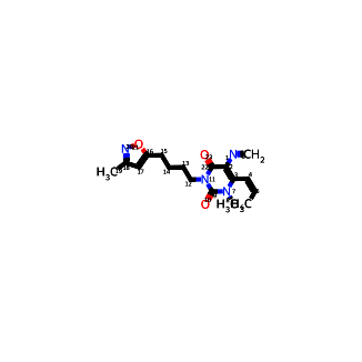 C=Nc1c(/C=C\C)n(C)c(=O)n(CCCCc2cc(C)no2)c1=O